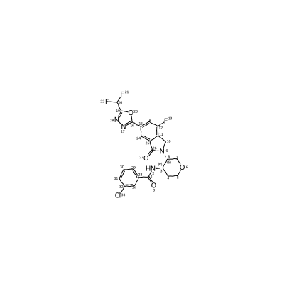 O=C(N[C@@H]1CCOC[C@H]1N1Cc2c(F)cc(-c3nnc(C(F)F)o3)cc2C1=O)c1cccc(Cl)c1